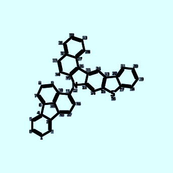 c1ccc2c(c1)-c1cccc3c(-n4c5cc6sc7ccccc7c6cc5c5c6ccccc6ccc54)ccc-2c13